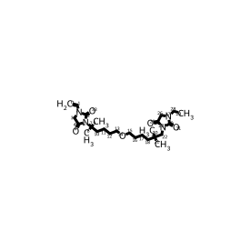 C=CN1CC(=O)N(C(C)(C)CCCCOCCCCC(C)(C)CN2C(=O)CN(CC)C2=O)C1=O